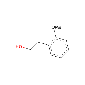 COc1cc[c]cc1CCO